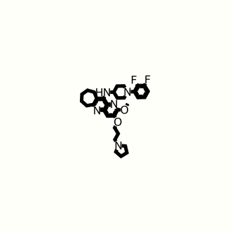 COc1nc2c(NC3CCN(c4cccc(F)c4F)CC3)c3c(nc2cc1OCCCN1CCCC1)CCCCC3